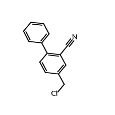 N#Cc1cc(CCl)ccc1-c1ccccc1